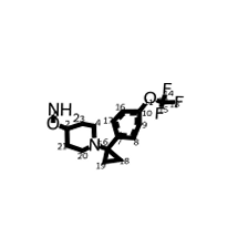 NOC1CCN(C2(c3ccc(OC(F)(F)F)cc3)CC2)CC1